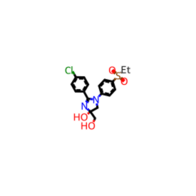 CCS(=O)(=O)c1ccc(N2CC(O)(CO)N=C2c2ccc(Cl)cc2)cc1